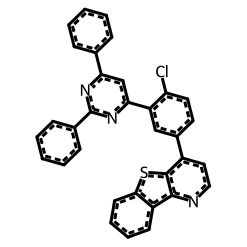 Clc1ccc(-c2ccnc3c2sc2ccccc23)cc1-c1cc(-c2ccccc2)nc(-c2ccccc2)n1